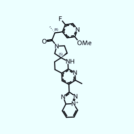 COc1cc([C@@H](C)C(=O)N2CC[C@@]3(CCc4cc(C5=NC6C=CC=C[N+]6=N5)c(C)nc4N3)C2)c(F)cn1